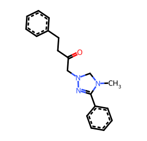 CN1CN(CC(=O)CCc2ccccc2)N=C1c1ccccc1